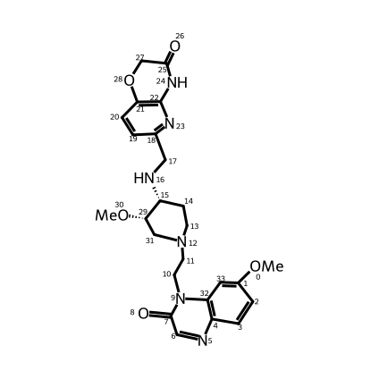 COc1ccc2ncc(=O)n(CCN3CC[C@@H](NCc4ccc5c(n4)NC(=O)CO5)[C@@H](OC)C3)c2c1